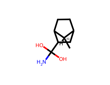 C[C@H]1C2CCC1C(C(N)(O)O)C2